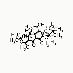 CC1=C(C(=O)C2=C(C)[C@@H](O[Si](C)(C)C(C)(C)C)C[C@@H](C(C)C)C2(C)C)C(=O)OC(C)(C)O1